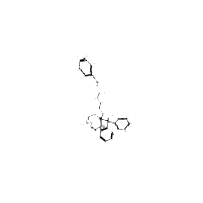 OC(c1ccccc1)(c1ccccc1)C1(CCCCCOCc2ccccc2)CCNCC1